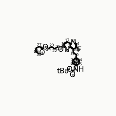 CC(C)(C)OC(=O)NC12CCC(CCc3c(F)cnc4ccc(OCCCCOC5CCCCO5)nc34)(CC1)OC2